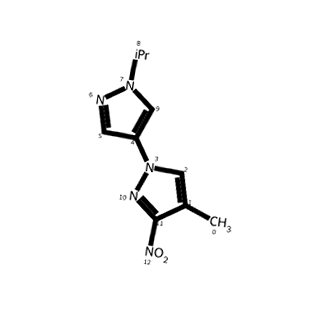 Cc1cn(-c2cnn(C(C)C)c2)nc1[N+](=O)[O-]